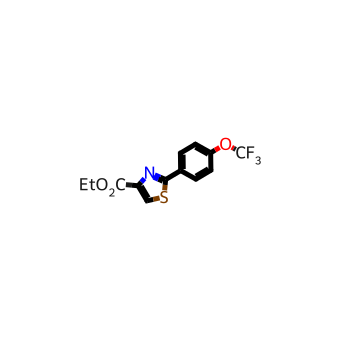 CCOC(=O)c1csc(-c2ccc(OC(F)(F)F)cc2)n1